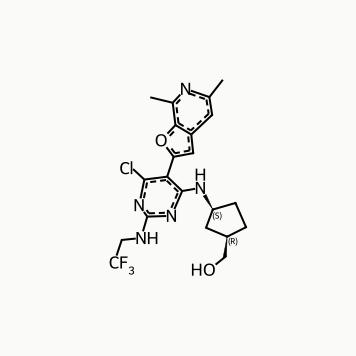 Cc1cc2cc(-c3c(Cl)nc(NCC(F)(F)F)nc3N[C@H]3CC[C@@H](CO)C3)oc2c(C)n1